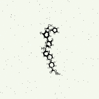 Cc1nc2c(F)cc(-c3nc(Nc4ccc5c(n4)CCN(C4CCN(C(=O)OC(C)(C)C)CC4)C5)ncc3F)cc2n1C1CCCC1